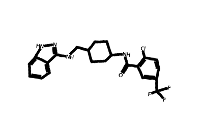 O=C(NC1CCC(CNc2n[nH]c3ccccc23)CC1)c1cc(C(F)(F)F)ccc1Cl